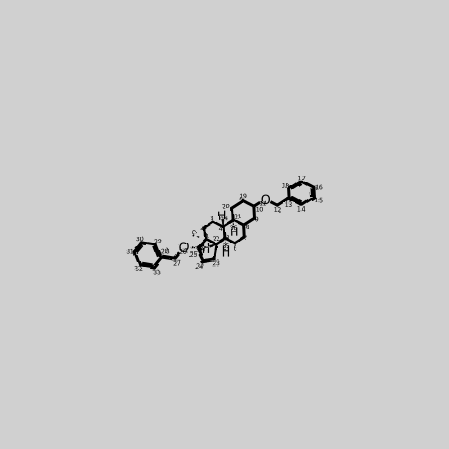 C[C@]12CC[C@H]3[C@@H](CCC4CC(OCc5ccccc5)CC[C@@H]43)[C@@H]1CC[C@@H]2OCc1ccccc1